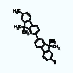 Cc1ccc2c(c1)C(C)(C)c1cc(-c3ccc4c(c3)C(C)(C)c3cc(I)ccc3-4)ccc1-2